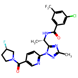 Cc1nc([C@H](C)NC(=O)c2cc(Cl)cc(C(F)(F)F)c2)n(-c2ccc(C(=O)N3CC[C@@H](F)C3)cn2)n1